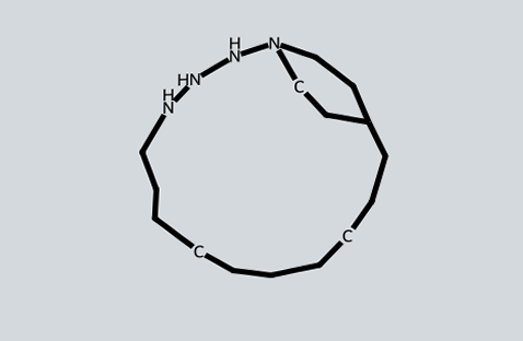 C1CCCCCC2CCN(CC2)NNNCCCC1